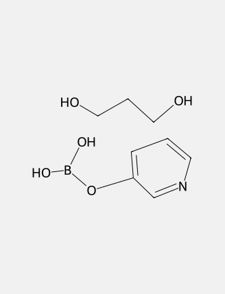 OB(O)Oc1cccnc1.OCCCO